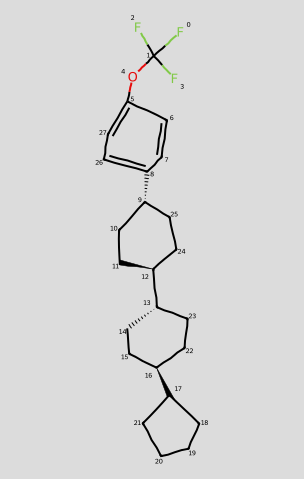 FC(F)(F)Oc1ccc([C@H]2CC[C@H]([C@H]3CC[C@H](C4CCCC4)CC3)CC2)cc1